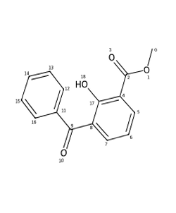 COC(=O)c1cccc(C(=O)c2ccccc2)c1O